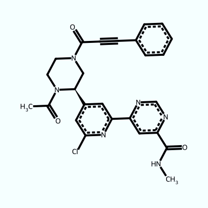 CNC(=O)c1cc(-c2cc([C@@H]3CN(C(=O)C#Cc4ccccc4)CCN3C(C)=O)cc(Cl)n2)ncn1